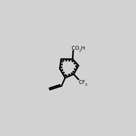 C=Cc1ccc(C(=O)O)cc1C(F)(F)F